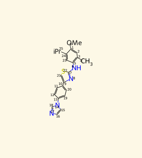 COc1cc(C)c(Nc2nc(-c3ccc(-n4ccnc4)cc3)cs2)cc1C(C)C